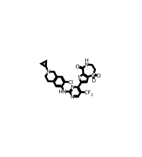 O=C1NCCS(=O)(=O)c2cc(-c3nc(Nc4cc5c(cc4Cl)CN(C4CC4)CC5)ncc3C(F)(F)F)sc21